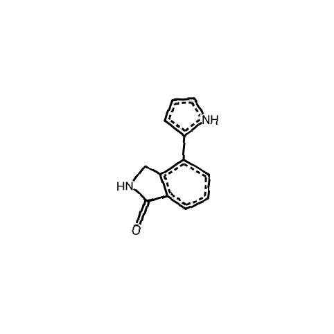 O=C1NCc2c1cccc2-c1ccc[nH]1